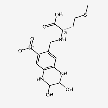 CSCC[C@H](NCc1cc2c(cc1[N+](=O)[O-])NC(O)C(O)N2)C(=O)O